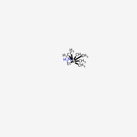 C[CH2][W]([CH3])([CH3])([CH3])([CH3])([CH3])([CH3])[NH2]